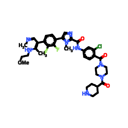 C/N=C\C(=C(\C)NCCOC)c1ccc(-c2cnc(C(=O)Nc3ccc(C(=O)N4CCN(C(=O)C5CCNCC5)CC4)c(Cl)c3)n2C)c(F)c1F